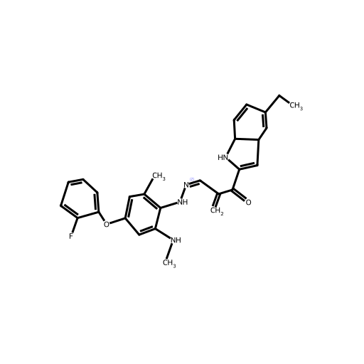 C=C(/C=N\Nc1c(C)cc(Oc2ccccc2F)cc1NC)C(=O)C1=CC2C=C(CC)C=CC2N1